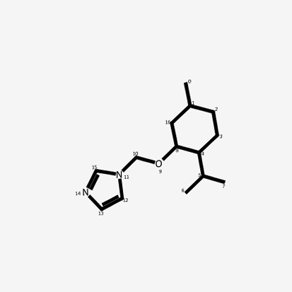 CC1CCC(C(C)C)C(OCn2ccnc2)C1